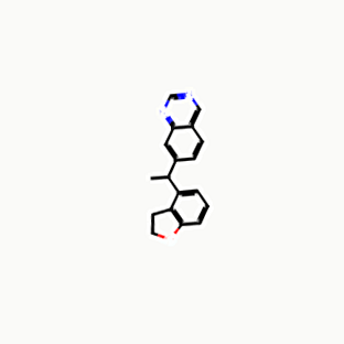 CC(c1ccc2cncnc2c1)c1cccc2c1CCO2